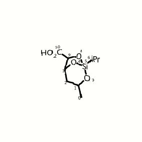 CC1CC2O[Si](C(C)C)(O1)OC2C(=O)O